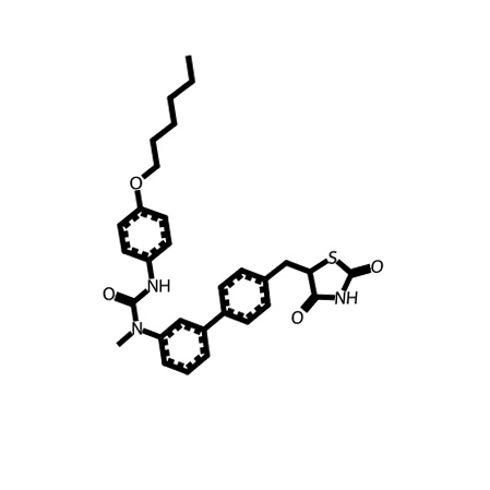 CCCCCCOc1ccc(NC(=O)N(C)c2cccc(-c3ccc(CC4SC(=O)NC4=O)cc3)c2)cc1